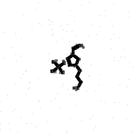 C=CN1C=CN(CCCC)C1.[Cl][Fe]([Cl])([Cl])[Cl]